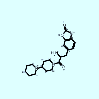 NC(Cc1ccc2[nH]c(=O)oc2c1)C(=O)N1CCC(N2CCCCC2)CC1